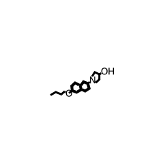 CCCCOc1ccc2cc(N3CCC(O)CC3)ccc2c1